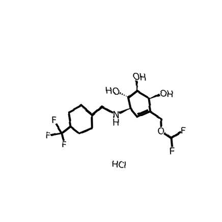 Cl.O[C@@H]1[C@@H](O)[C@@H](O)C(COC(F)F)=C[C@H]1NCC1CCC(C(F)(F)F)CC1